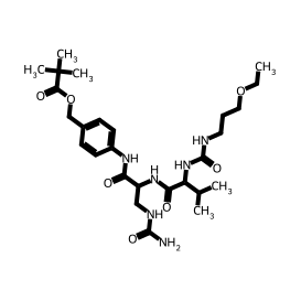 CCOCCCNC(=O)NC(C(=O)NC(CNC(N)=O)C(=O)Nc1ccc(COC(=O)C(C)(C)C)cc1)C(C)C